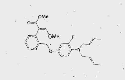 C/C=C/CN(C/C=C/C)c1ccc(OCc2ccccc2/C(=C\OC)C(=O)OC)cc1F